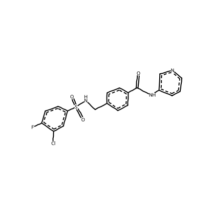 O=C(Nc1cccnc1)c1ccc(CNS(=O)(=O)c2ccc(F)c(Cl)c2)cc1